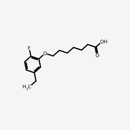 CCc1ccc(F)c(OCCCCCCC(=O)O)c1